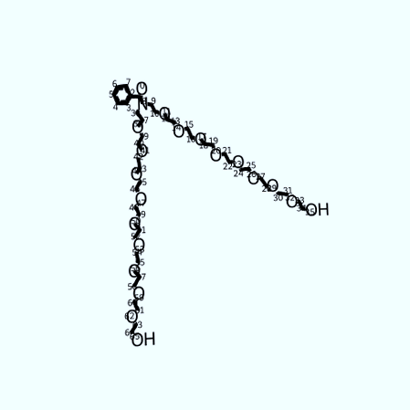 O=C(c1ccccc1)N(CCOCCOCCOCCOCCOCCOCCOCCOCCO)CCOCCOCCOCCOCCOCCOCCOCCOCCOCCO